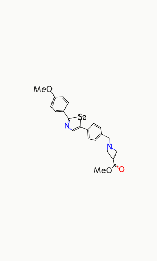 COC(=O)C1CN(Cc2ccc(-c3cnc(-c4ccc(OC)cc4)[se]3)cc2)C1